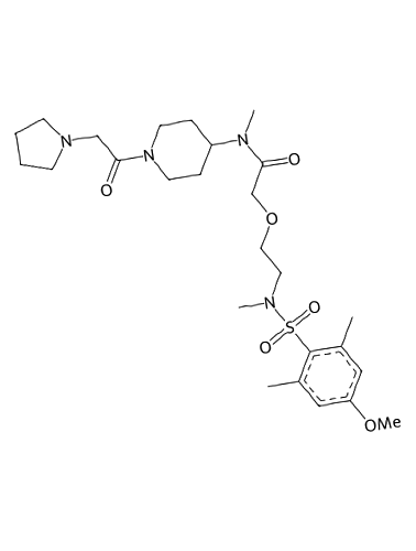 COc1cc(C)c(S(=O)(=O)N(C)CCOCC(=O)N(C)C2CCN(C(=O)CN3CCCC3)CC2)c(C)c1